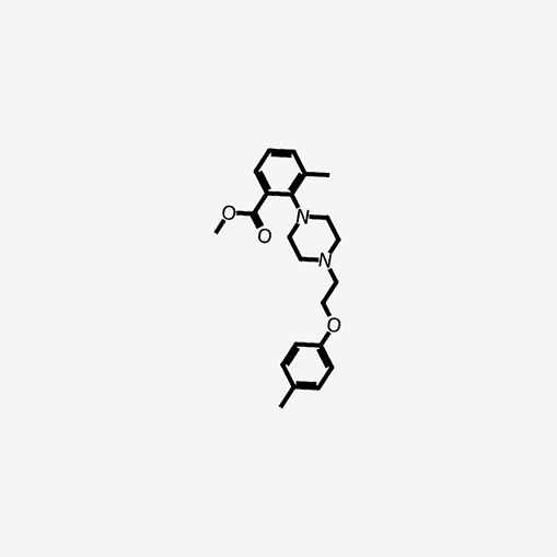 COC(=O)c1cccc(C)c1N1CCN(CCOc2ccc(C)cc2)CC1